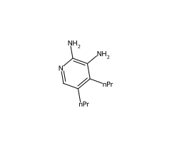 CCCc1cnc(N)c(N)c1CCC